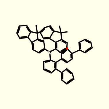 CC1(C)c2ccccc2-c2ccc(N(c3cccc(-c4ccccc4)c3-c3ccc(-c4ccccc4)cc3)c3cccc4c3-c3ccccc3C4(C)C)cc21